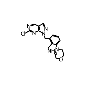 NCc1c(Cn2ncc3cnc(Cl)nc32)cccc1N1CCOCC1